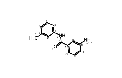 Cc1ccnc(NC(=O)c2cccc(N)c2)c1